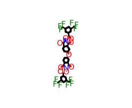 O=C(ON1C(=O)c2ccc(Oc3ccc4c(c3)C(=O)N(OC(=O)c3cc(C(F)(F)F)cc(C(F)(F)F)c3)C4=O)cc2C1=O)c1cc(C(F)(F)F)cc(C(F)(F)F)c1